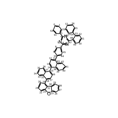 c1ccc(-c2nc(-c3ccc(-c4ccc(-c5ccc(-c6cccc7oc8ccccc8c67)c6ccccc56)c5ccccc45)cc3)nc(-c3ccccc3-c3ccccc3)n2)cc1